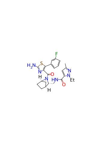 CCn1nc(C)cc1C(=O)NC[C@@H]1[C@H]2CC[C@H](C2)N1C(=O)c1nc(N)sc1-c1cccc(F)c1